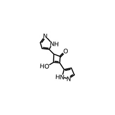 O=C1C(c2ccn[nH]2)=C(O)C1c1ccn[nH]1